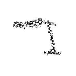 CCCC(OCCCOC1CCC2C3CCc4cc(OCCN(C)CCCCCCSSCCCCCCC(COC)CON)ccc4C3CCC12C)(C(F)(F)F)C(F)(F)F